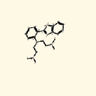 CN(C)CCN(CCN(C)C)c1ccccc1-c1nc2cnccc2[nH]1